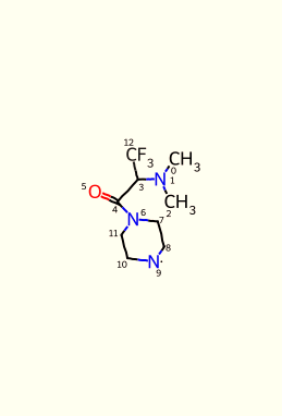 CN(C)C(C(=O)N1CC[N]CC1)C(F)(F)F